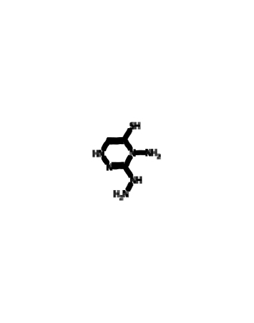 NNC1=NNC=C(S)N1N